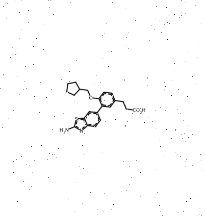 Nc1nc2ccc(-c3cc(CCC(=O)O)ccc3OCC3CCCC3)cc2s1